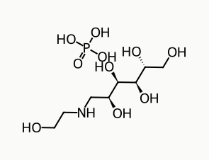 O=P(O)(O)O.OCCNC[C@H](O)[C@@H](O)[C@H](O)[C@H](O)CO